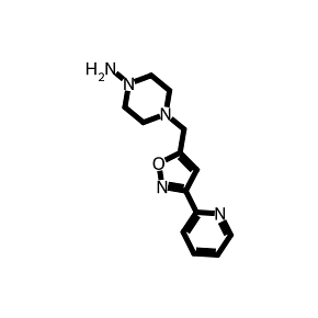 NN1CCN(Cc2cc(-c3ccccn3)no2)CC1